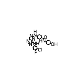 O=C(N[C@H]1CC[C@H](O)CC1)C1CCC(Nc2ncc3ncnc(Nc4ccc(F)c(Cl)c4)c3n2)CC1